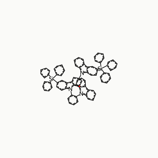 c1ccc([Si](c2ccccc2)(c2ccccc2)c2ccc3c(c2)c2ccccc2n3-c2ccc3c(c2)c2cc([Si](c4ccccc4)(c4ccccc4)c4ccccc4)ccc2n3-c2ccccc2-n2c3ccccc3c3ccccc32)cc1